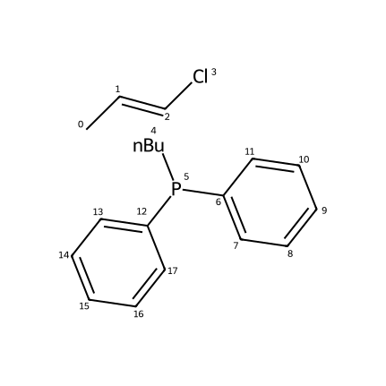 CC=CCl.CCCCP(c1ccccc1)c1ccccc1